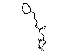 O=C(CCc1c[nH]cn1)OCCCC1CCCCC1